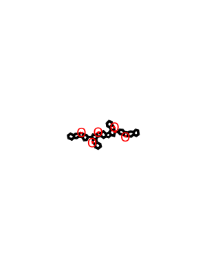 c1ccc2cc3c(cc2c1)oc1cc(-c2cc4c(c5c2oc2ccccc25)-c2cc5oc6cc(-c7ccc8c(c7)oc7cc9ccccc9cc78)c7oc8ccccc8c7c6c5cc2C4)ccc13